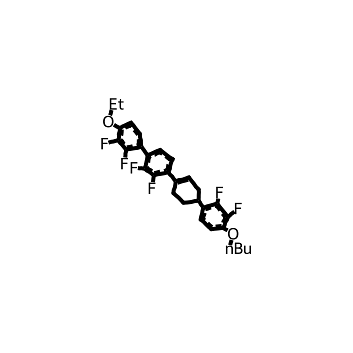 CCCCOc1ccc(C2CC=C(c3ccc(-c4ccc(OCC)c(F)c4F)c(F)c3F)CC2)c(F)c1F